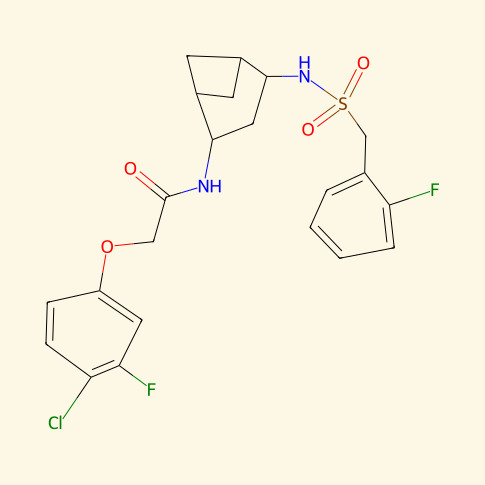 O=C(COc1ccc(Cl)c(F)c1)NC1CC(NS(=O)(=O)Cc2ccccc2F)C2CC1C2